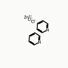 [Cl-].[Cl-].[Zn+2].c1ccncc1.c1ccncc1